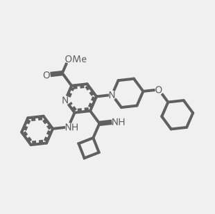 COC(=O)c1cc(N2CCC(OC3CCCCC3)CC2)c(C(=N)C2CCC2)c(Nc2ccccc2)n1